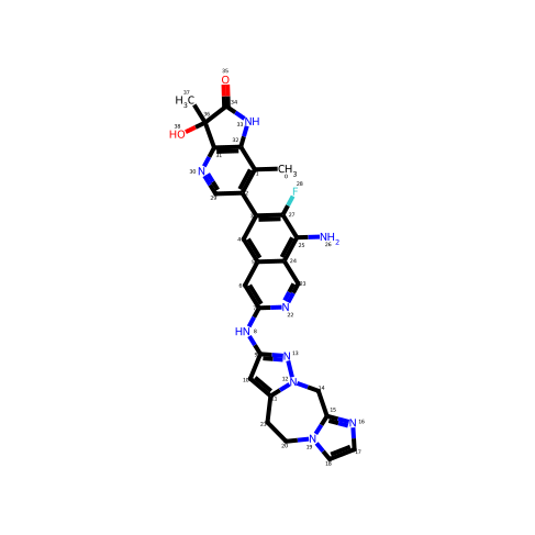 Cc1c(-c2cc3cc(Nc4cc5n(n4)Cc4nccn4CC5)ncc3c(N)c2F)cnc2c1NC(=O)C2(C)O